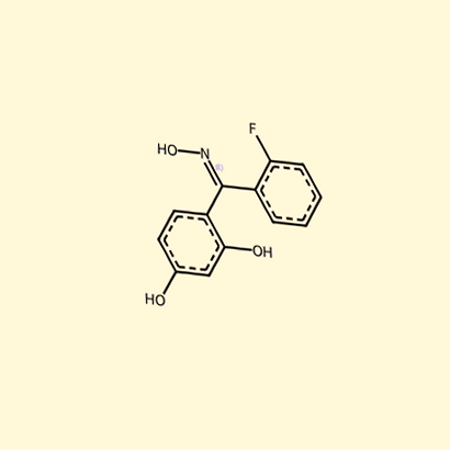 O/N=C(\c1ccc(O)cc1O)c1ccccc1F